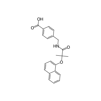 CC(C)(Oc1cccc2ccccc12)C(=O)NCc1ccc(C(=O)O)cc1